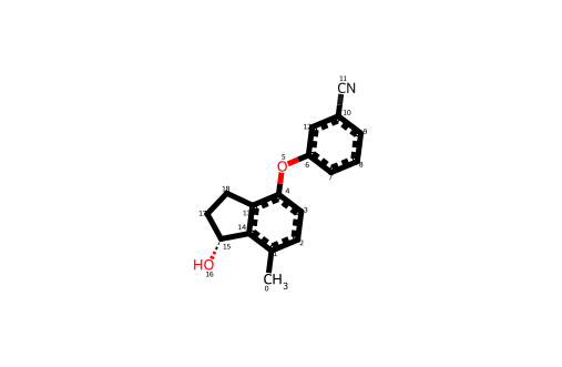 Cc1ccc(Oc2cccc(C#N)c2)c2c1[C@H](O)CC2